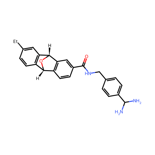 CCc1ccc2c(c1)[C@H]1O[C@@H]2c2ccc(C(=O)NCc3ccc(C(N)N)cc3)cc21